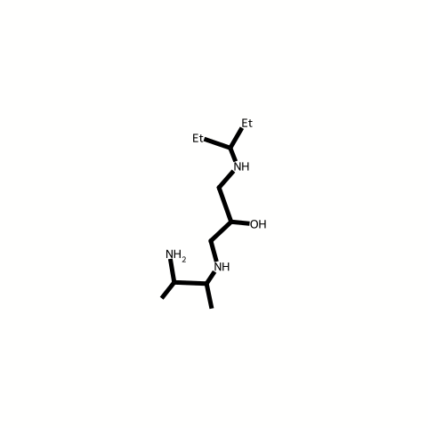 CCC(CC)NCC(O)CNC(C)C(C)N